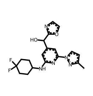 Cc1ccn(-c2cc(C(O)c3ncco3)cc(NC3CCC(F)(F)CC3)n2)n1